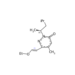 CCO/C=C/c1nn([C@@H](C)CC(C)C)c(=O)cc1C